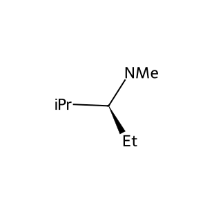 CC[C@H](NC)C(C)C